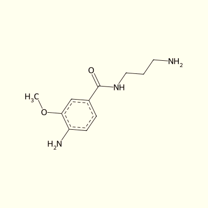 COc1cc(C(=O)NCCCN)ccc1N